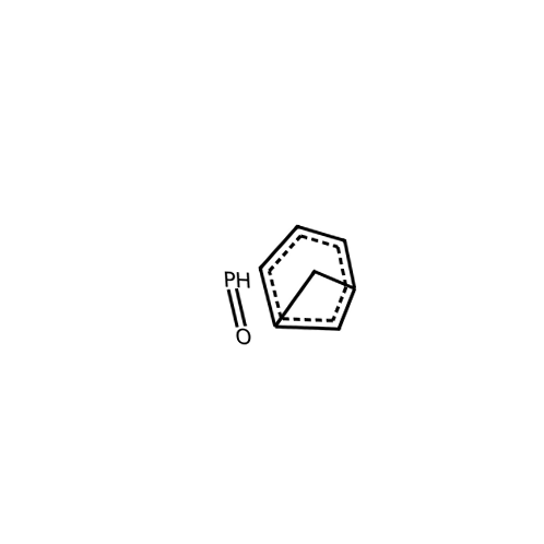 O=P.c1cc2cc(c1)C2